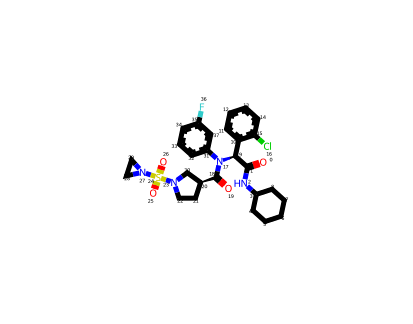 O=C(NC1CCCCC1)[C@H](c1ccccc1Cl)N(C(=O)[C@H]1CCN(S(=O)(=O)N2CC2)C1)c1cccc(F)c1